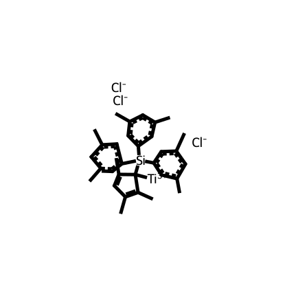 CC1=CC(C)=C(C)[C]1([Ti+3])[Si](c1cc(C)cc(C)c1)(c1cc(C)cc(C)c1)c1cc(C)cc(C)c1.[Cl-].[Cl-].[Cl-]